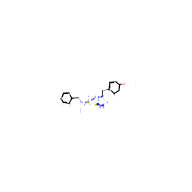 Oc1ccc(Cc2nnc3sc(NCc4ccccc4)nn23)cc1